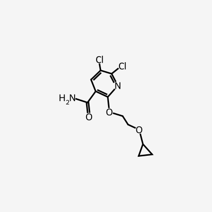 NC(=O)c1cc(Cl)c(Cl)nc1OCCOC1CC1